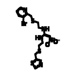 O=[N+]([O-])C=C(NCCSCc1cncs1)NCCSCc1ncccc1Br